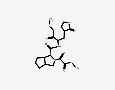 CC(C)(C)NC(=O)C(=O)N1CC2CCCC2[C@H]1C(=O)NC(CC1CCNC1=O)C(=O)COC(F)(F)F